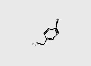 NCc1ccc([S])cc1